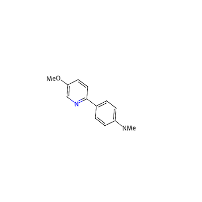 CNc1ccc(-c2ccc(OC)cn2)cc1